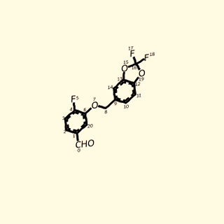 O=Cc1ccc(F)c(OCc2ccc3c(c2)OC(F)(F)O3)c1